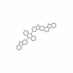 c1ccc2c(c1)sc1cc(-c3c4ccccc4c(-c4ccc5sc6cc7c(ccc8c9ccccc9sc78)cc6c5c4)c4ccccc34)ccc12